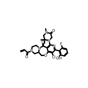 C=CC(=O)N1CCN2C(=O)c3c(N4CC(=O)N(C)CC4(C)C)nc(-c4c(O)cccc4F)c(Cl)c3OCC2C1